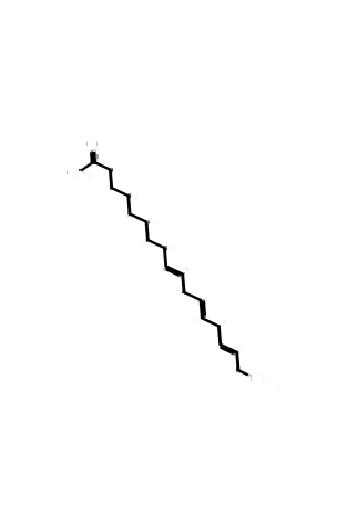 CCC=CCC=CCC=CCCCCCCCC(=O)Cl